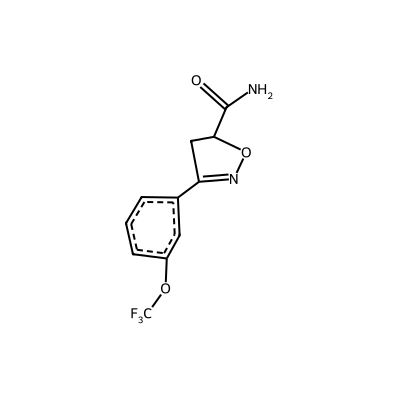 NC(=O)C1CC(c2cccc(OC(F)(F)F)c2)=NO1